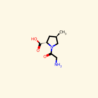 C[C@@H]1C[C@@H](C(=O)O)N(C(=O)CN)C1